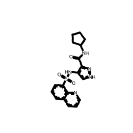 O=C(NC1CCCC1)c1n[nH]cc1NS(=O)(=O)c1cccc2cccnc12